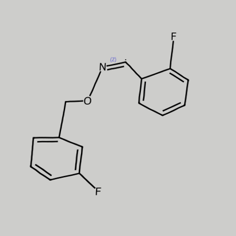 Fc1cccc(CO/N=[C]\c2ccccc2F)c1